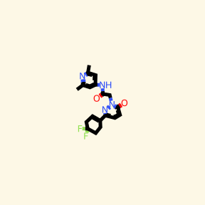 Cc1cc(NC(=O)Cn2nc(C3=CCC(F)(F)CC3)ccc2=O)cc(C)n1